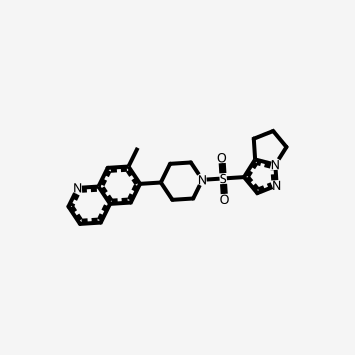 Cc1cc2ncccc2cc1C1CCN(S(=O)(=O)c2cnn3c2CCC3)CC1